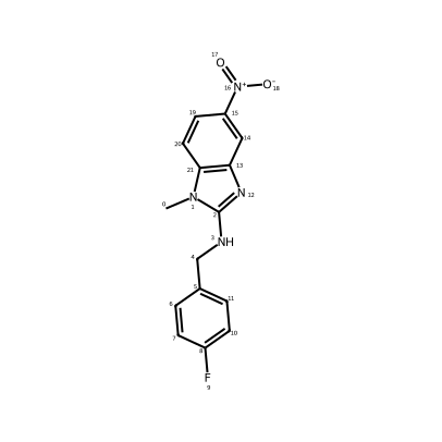 Cn1c(NCc2ccc(F)cc2)nc2cc([N+](=O)[O-])ccc21